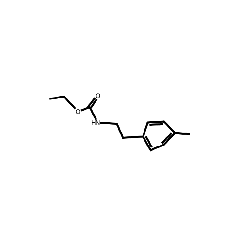 CCOC(=O)NCCc1ccc(C)cc1